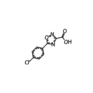 O=C(O)c1noc(-c2ccc(Cl)cc2)n1